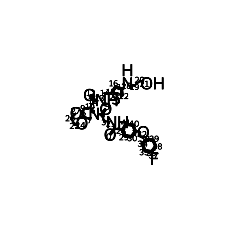 O=C(NCC(=O)N1CC2(C[C@H]1C(=O)NCc1cc(NCCO)cs1)OCCO2)c1ccc(Oc2ccc(F)cc2)cc1